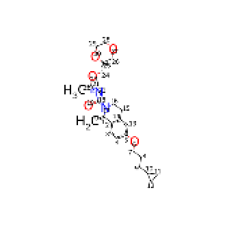 C=C1c2ccc(OCCCC3CC3)cc2CCN1C(=O)/N=C(\C)OC[C@H]1COCCO1